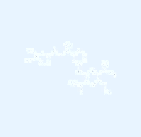 CCc1nc(C(N)=O)c(Nc2cccc([C@@H](C)CNC(=O)OC(C)(C)C)c2)nc1C(C)C